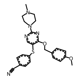 COc1ccc(COc2nc(N3CCN(C)CC3)ncc2Sc2ccc(C#N)cc2)cc1